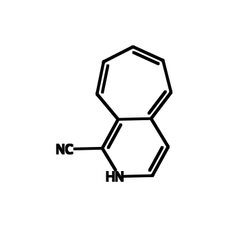 N#CC1=C2C=CC=CC=C2C=CN1